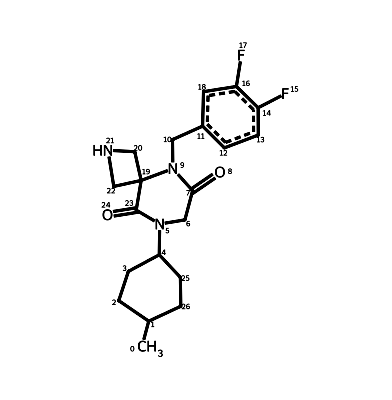 CC1CCC(N2CC(=O)N(Cc3ccc(F)c(F)c3)C3(CNC3)C2=O)CC1